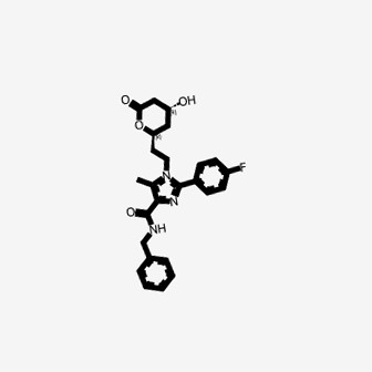 Cc1c(C(=O)NCc2ccccc2)nc(-c2ccc(F)cc2)n1CC[C@@H]1C[C@@H](O)CC(=O)O1